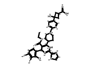 CCOC(=O)C1=C(C2CCN(c3ncc(C4(O)CC(C(=O)O)C4)cn3)CC2)NC(c2nccs2)=NC1c1ccc(F)c(F)c1Cl